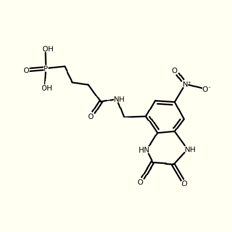 O=C(CCCP(=O)(O)O)NCc1cc([N+](=O)[O-])cc2[nH]c(=O)c(=O)[nH]c12